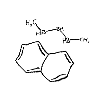 CBBBC.c1ccc2ccccc2c1